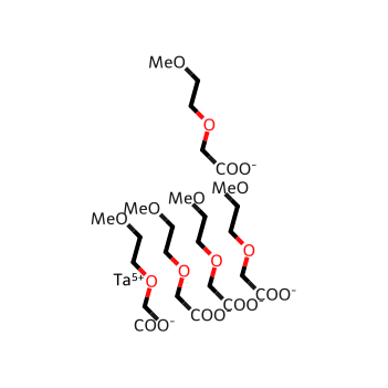 COCCOCC(=O)[O-].COCCOCC(=O)[O-].COCCOCC(=O)[O-].COCCOCC(=O)[O-].COCCOCC(=O)[O-].[Ta+5]